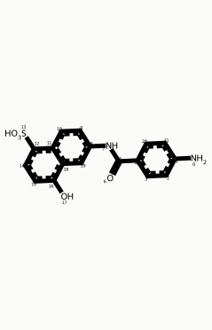 Nc1ccc(C(=O)Nc2ccc3c(S(=O)(=O)O)ccc(O)c3c2)cc1